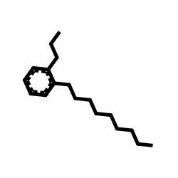 CCCCCCCCCc1[c]cccc1CCC